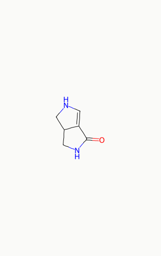 O=C1NCC2CNC=C12